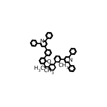 CC1C(c2cc(-c3ccccc3)nc(-c3ccccc3)c2)=CC=CC1C1=C2Oc3c(-c4cccc(-c5cc(-c6ccccc6)nc(-c6ccccc6)c5)c4)cccc3C(C)(C)C2=CCC1